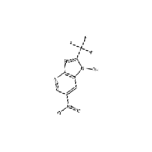 O=[N+]([O-])c1cnc2nc(C(F)(F)F)n(O)c2c1